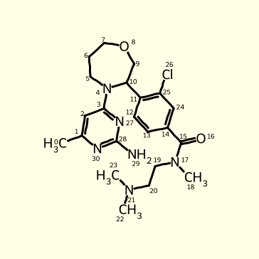 Cc1cc(N2CCCOCC2c2ccc(C(=O)N(C)CCN(C)C)cc2Cl)nc(N)n1